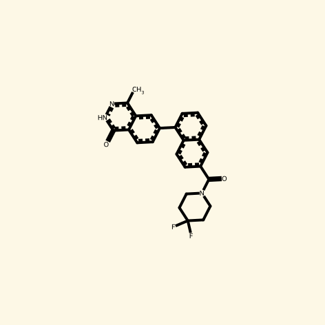 Cc1n[nH]c(=O)c2ccc(-c3cccc4cc(C(=O)N5CCC(F)(F)CC5)ccc34)cc12